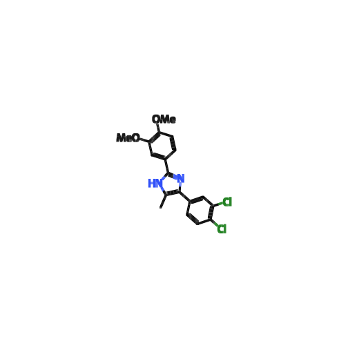 COc1ccc(-c2nc(-c3ccc(Cl)c(Cl)c3)c(C)[nH]2)cc1OC